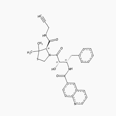 C#CCNC(=O)[C@H]1N(C(=O)[C@@H](O)[C@H](Cc2ccccc2)NC(=O)c2ccc3ncccc3c2)CSC1(C)C